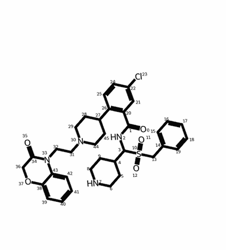 O=C(NC(C1CCNCC1)S(=O)(=O)Cc1ccccc1)c1cc(Cl)ccc1C1CCN(CCN2C(=O)COc3ccccc32)CC1